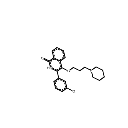 O=c1[nH]c(-c2cccc(Cl)c2)c(OCCCN2CCCCC2)c2ccccc12